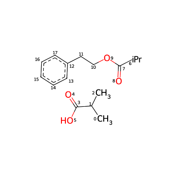 CC(C)C(=O)O.CC(C)C(=O)OCCc1ccccc1